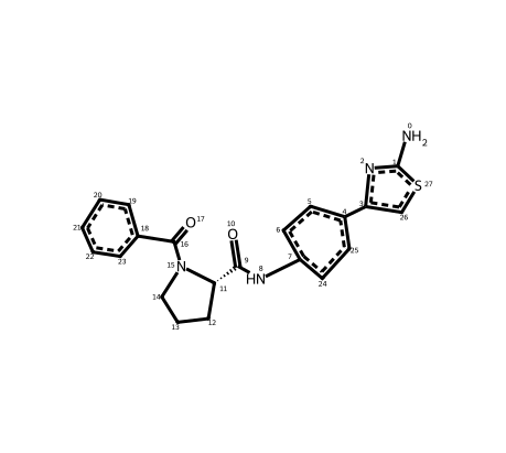 Nc1nc(-c2ccc(NC(=O)[C@@H]3CCCN3C(=O)c3ccccc3)cc2)cs1